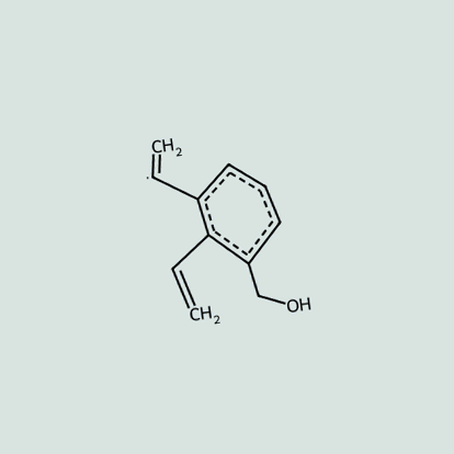 C=[C]c1cccc(CO)c1C=C